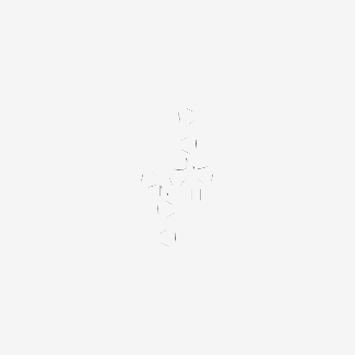 Cc1c2c3ccccc3n(-c3ccc(-c4ccccc4)cc3)c2c(C)c2c3ccccc3n(-c3ccc(-c4ccccc4)cc3)c12